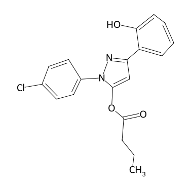 CCCC(=O)Oc1cc(-c2ccccc2O)nn1-c1ccc(Cl)cc1